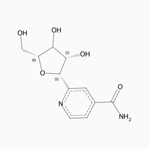 NC(=O)c1ccnc([C@@H]2O[C@H](CO)C(O)[C@@H]2O)c1